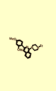 CCN1CCN(c2nc(-c3ccc(OC)cc3OC)cc3ccccc23)CC1